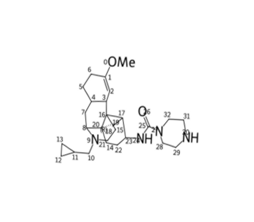 COC1=CC2C(CC1)CC1N(CC3CC3)CCC23C2CC[C@]13CCC2NC(=O)N1CCNCC1